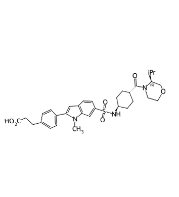 CC(C)[C@H]1COCCN1C(=O)[C@H]1CC[C@H](NS(=O)(=O)c2ccc3cc(-c4ccc(CCC(=O)O)cc4)n(C)c3c2)CC1